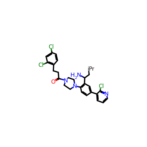 CC(C)CC(N)c1cc(-c2cccnc2Cl)ccc1N1CCN(C(=O)CCc2ccc(Cl)cc2Cl)CC1